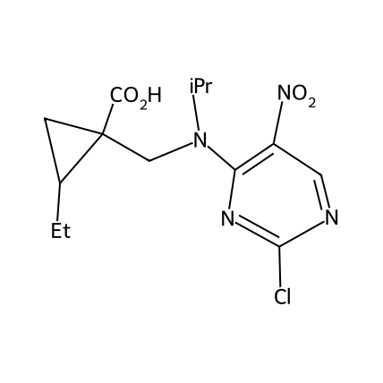 CCC1CC1(CN(c1nc(Cl)ncc1[N+](=O)[O-])C(C)C)C(=O)O